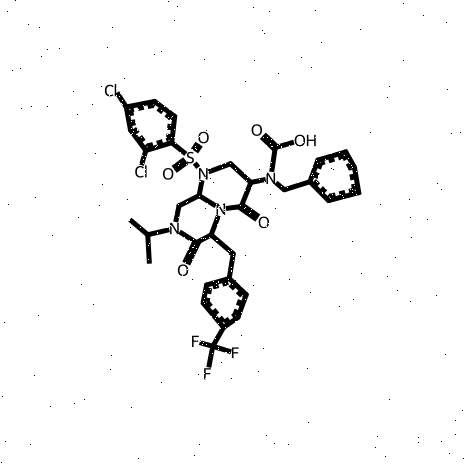 CC(C)N1CC2N(C(=O)C(N(Cc3ccccc3)C(=O)O)CN2S(=O)(=O)c2ccc(Cl)cc2Cl)C(Cc2ccc(C(F)(F)F)cc2)C1=O